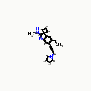 CCc1cc2c(cc1C#CCN1CCCC1)N=C(NC)C21CCC1